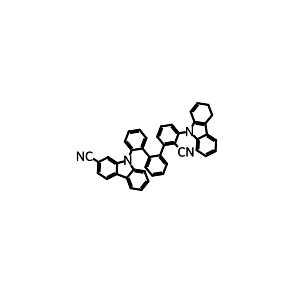 N#Cc1ccc2c3ccccc3n(-c3ccccc3-c3ccccc3-c3cccc(-n4c5c(c6ccccc64)CCC=C5)c3C#N)c2c1